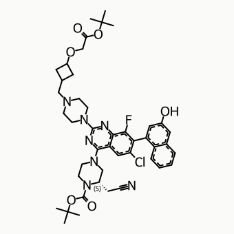 CC(C)(C)OC(=O)COC1CC(CN2CCN(c3nc(N4CCN(C(=O)OC(C)(C)C)[C@@H](CC#N)C4)c4cc(Cl)c(-c5cc(O)cc6ccccc56)c(F)c4n3)CC2)C1